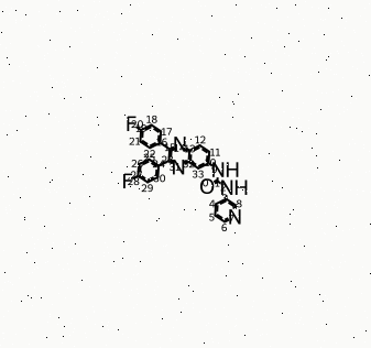 O=C(Nc1cccnc1)Nc1ccc2nc(-c3ccc(F)cc3)c(-c3ccc(F)cc3)nc2c1